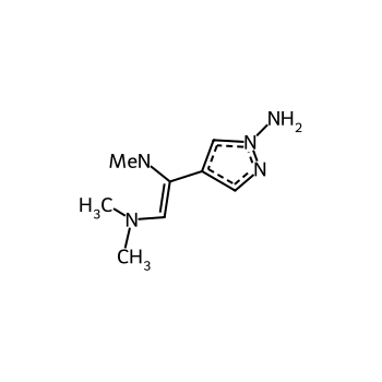 CN/C(=C\N(C)C)c1cnn(N)c1